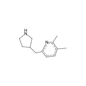 Cc1ccc(CC2CCNC2)nc1C